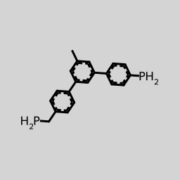 Cc1cc(-c2ccc(P)cc2)cc(-c2ccc(CP)cc2)c1